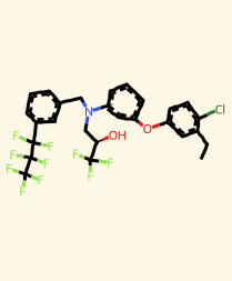 CCc1cc(Oc2cccc(N(Cc3cccc(C(F)(F)C(F)(F)C(F)(F)F)c3)C[C@@H](O)C(F)(F)F)c2)ccc1Cl